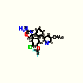 COc1cncc(-c2cccc(C3(C4C=C(Cl)C(OC(F)F)=CC4)COC(N)=N3)c2)c1